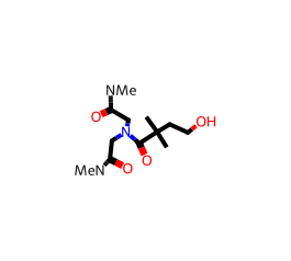 CNC(=O)CN(CC(=O)NC)C(=O)C(C)(C)CCO